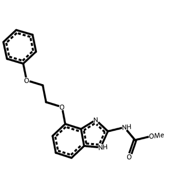 COC(=O)Nc1nc2c(OCCOc3ccccc3)cccc2[nH]1